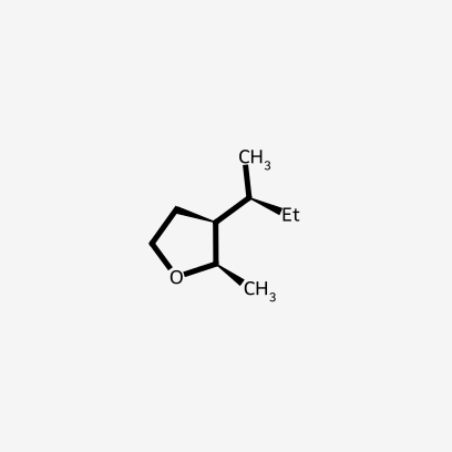 CC[C@H](C)[C@@H]1CCO[C@@H]1C